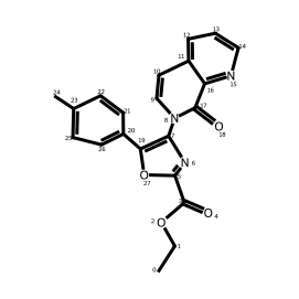 CCOC(=O)c1nc(-n2ccc3cccnc3c2=O)c(-c2ccc(C)cc2)o1